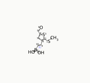 CSc1sc(C=O)cc1/C=C/B(O)O